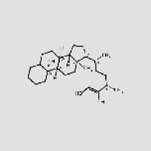 CC(=CO)[C@@H](C)CC[C@@H](C)[C@H]1CC[C@H]2[C@@H]3CCC4CCCC[C@]4(C)[C@H]3CC[C@]12C